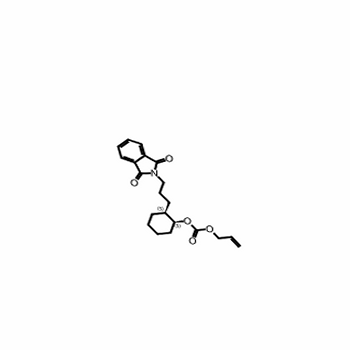 C=CCOC(=O)O[C@H]1CCCC[C@H]1CCCN1C(=O)c2ccccc2C1=O